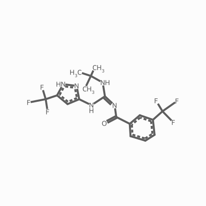 CC(C)(C)N/C(=N/C(=O)c1cccc(C(F)(F)F)c1)Nc1cc(C(F)(F)F)[nH]n1